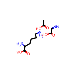 CC(=O)O.N=CC(=O)O.NCCCCC(N)C(=O)O